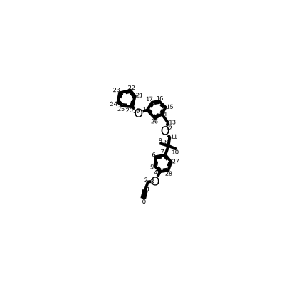 C#CCOc1ccc(C(C)(C)COCc2cccc(Oc3ccccc3)c2)cc1